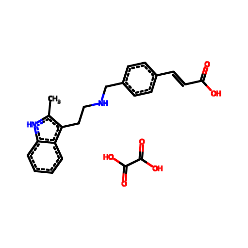 Cc1[nH]c2ccccc2c1CCNCc1ccc(C=CC(=O)O)cc1.O=C(O)C(=O)O